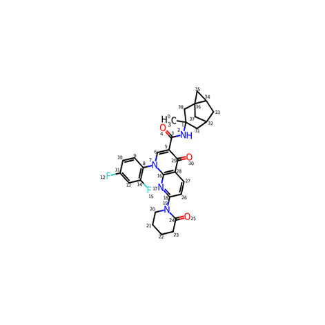 CC1(NC(=O)c2cn(-c3ccc(F)cc3F)c3nc(N4CCCCC4=O)ccc3c2=O)CC2CC3CC3(C2)C1